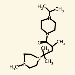 CC(CC(C)(C)N1CCN(C)CC1)C(=O)N1CCN(C(C)C)CC1